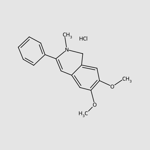 COc1cc2c(cc1OC)CN(C)C(c1ccccc1)=C2.Cl